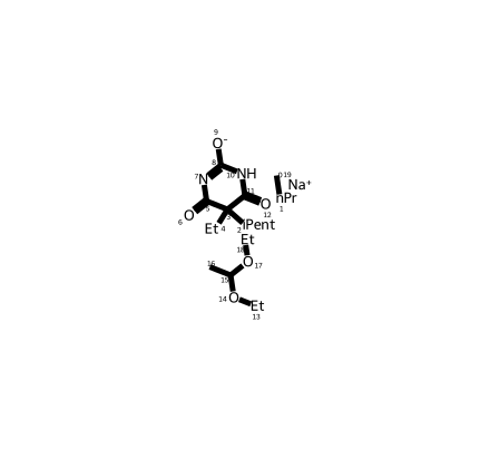 CCCC.CCCC(C)C1(CC)C(=O)N=C([O-])NC1=O.CCOC(C)OCC.[Na+]